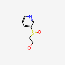 [O]CC[S+]([O-])c1cccnc1